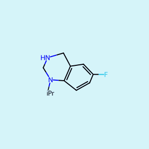 CC(C)N1CNCc2cc(F)ccc21